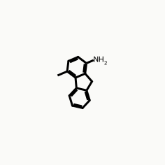 Cc1ccc(N)c2c1-c1ccccc1C2